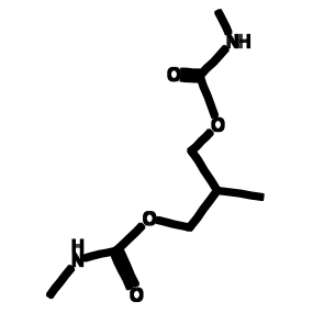 CNC(=O)OCC(C)COC(=O)NC